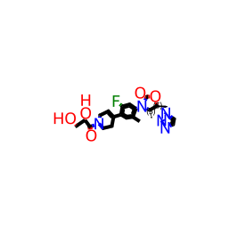 Cc1cc(C2=CCN(C(=O)C(O)CO)CC2)c(F)cc1N1C(=O)O[C@@H](Cn2ccnn2)[C@@H]1C